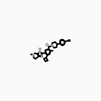 C#Cc1ccc(C2CCN(C(=O)c3cc(-c4nc5c([nH]4)CN(C)CC5)c(C4CCC4)cc3C)CC2)cc1